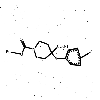 CCOC(=O)C1(Sc2ccc(F)cc2)CCN(C(=O)OC(C)(C)C)CC1